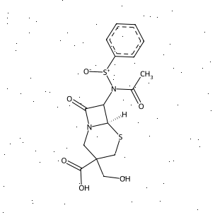 CC(=O)N(C1C(=O)N2CC(CO)(C(=O)O)CS[C@H]12)[S+]([O-])c1ccccc1